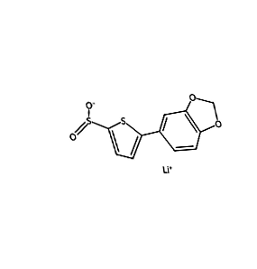 O=S([O-])c1ccc(-c2ccc3c(c2)OCO3)s1.[Li+]